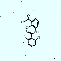 O=C(Cl)c1cccc(NC(=O)c2c(F)cccc2Cl)c1Cl